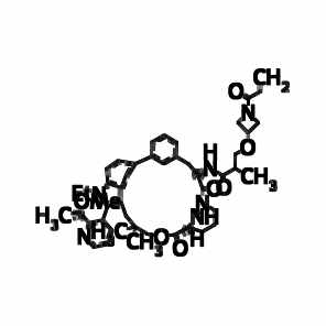 C=CC(=O)N1CC(OCC(C)C(=O)N[C@H]2Cc3cccc(c3)-c3ccc4c(c3)c(c(-c3cccnc3[C@H](C)OC)n4CC)CC(C)(C)COC(=O)[C@@H]3CCCN(N3)C2=O)C1